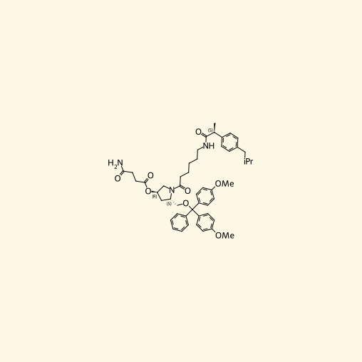 COc1ccc(C(OC[C@@H]2C[C@@H](OC(=O)CCC(N)=O)CN2C(=O)CCCCCNC(=O)[C@@H](C)c2ccc(CC(C)C)cc2)(c2ccccc2)c2ccc(OC)cc2)cc1